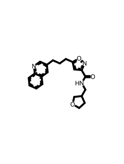 O=C(NCC1CCOC1)c1cc(CCCc2cnc3ccccc3c2)on1